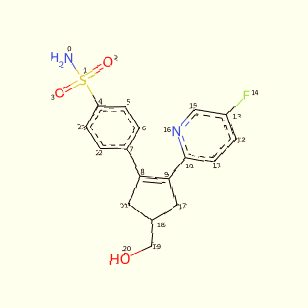 NS(=O)(=O)c1ccc(C2=C(c3ccc(F)cn3)CC(CO)C2)cc1